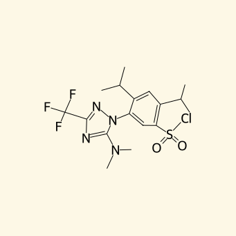 CC(C)c1cc(C(C)C)c(S(=O)(=O)Cl)cc1-n1nc(C(F)(F)F)nc1N(C)C